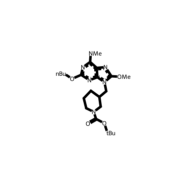 CCCCOc1nc(NC)c2nc(OC)n(CC3CCCN(C(=O)OC(C)(C)C)C3)c2n1